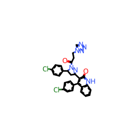 O=C(CCn1cnnn1)N1N=C(c2c(-c3ccc(Cl)cc3)c3ccccc3[nH]c2=O)CC1c1ccc(Cl)cc1